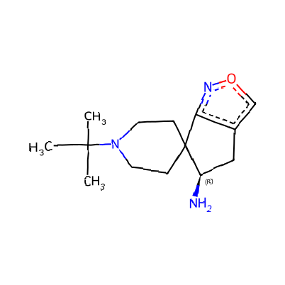 CC(C)(C)N1CCC2(CC1)c1nocc1C[C@H]2N